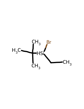 CC[SiH](Br)C(C)(C)C